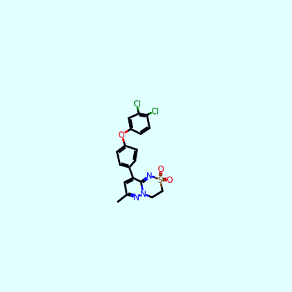 CC1=NN2CCS(=O)(=O)N=C2C(c2ccc(Oc3ccc(Cl)c(Cl)c3)cc2)=C1